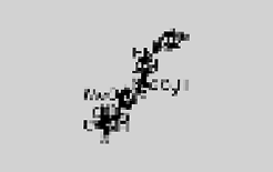 CO[C@H]1CN(c2nc(-c3cnc(NCCN4CCN(C)CC4)cn3)c(C(=O)O)s2)CC[C@H]1NC(=O)c1[nH]c(C)c(Cl)c1Cl